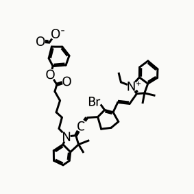 CC[N+]1=C(/C=C/C2=C(Br)C(C=C=C3N(CCCCCC(=O)Oc4ccccc4)c4ccccc4C3(C)C)CCC2)C(C)(C)c2ccccc21.O=C[O-]